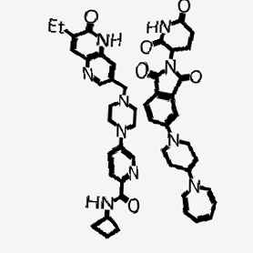 CCc1cc2ncc(CN3CCN(c4ccc(C(=O)NC5CCC5)nc4)CC3)cc2[nH]c1=O.O=C1CCC(N2C(=O)c3ccc(N4CCC(N5C=CC=CC=C5)CC4)cc3C2=O)C(=O)N1